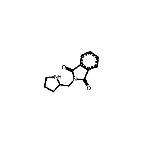 O=C1c2ccccc2C(=O)N1CC1CCCN1